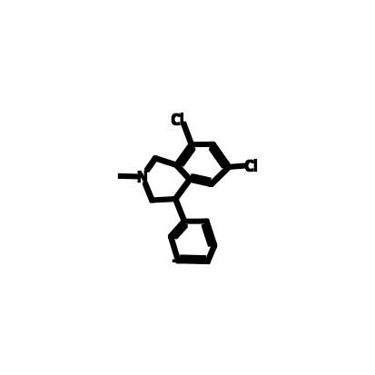 CN1Cc2c(Cl)cc(Cl)cc2C(c2c[c]ccc2)C1